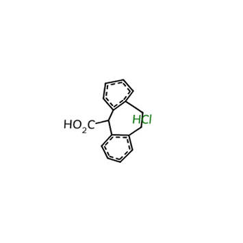 Cl.O=C(O)C1c2ccccc2CCc2ccccc21